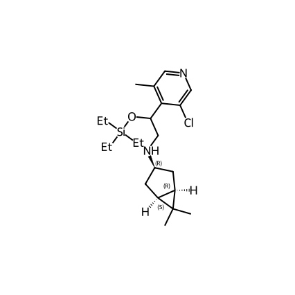 CC[Si](CC)(CC)OC(CN[C@H]1C[C@@H]2[C@H](C1)C2(C)C)c1c(C)cncc1Cl